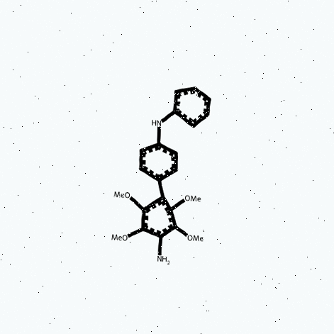 COc1c(N)c(OC)c(OC)c(-c2ccc(Nc3ccccc3)cc2)c1OC